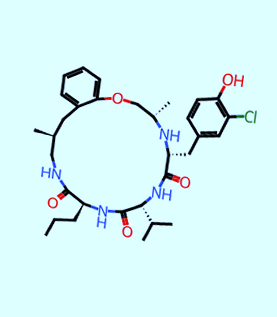 CCC[C@@H]1NC(=O)[C@@H](C(C)C)NC(=O)[C@@H](Cc2ccc(O)c(Cl)c2)N[C@@H](C)COc2ccccc2C[C@H](C)CNC1=O